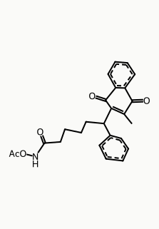 CC(=O)ONC(=O)CCCCC(C1=C(C)C(=O)c2ccccc2C1=O)c1ccccc1